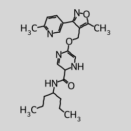 CCCC(CCC)NC(=O)C1C=NC(OCc2c(-c3ccc(C)nc3)noc2C)=CN1